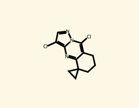 Clc1cnn2c(Cl)c3c(nc12)C1(CCC3)CC1